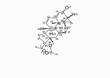 CC(=O)O[C@]1(C(C)=O)CC[C@H]2[C@@H]3C=CC4=CC(=O)[C@@H]5C[C@@H]5[C@]4(C)[C@H]3[C@@H](F)C[C@@]21C